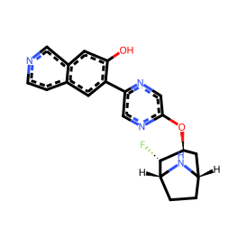 Oc1cc2cnccc2cc1-c1cnc(O[C@H]2C[C@@H]3CC[C@@H](N3)[C@@H]2F)cn1